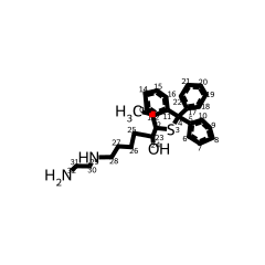 CCC(SC(c1ccccc1)(c1ccccc1)c1ccccc1)C(O)CCCCNCCN